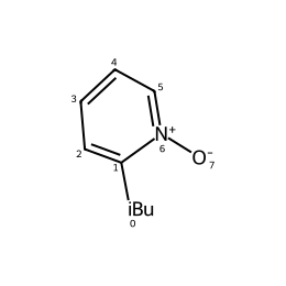 CCC(C)c1cccc[n+]1[O-]